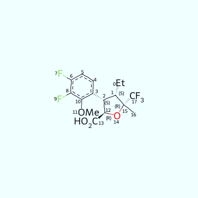 CC[C@H]1[C@@H](c2ccc(F)c(F)c2OC)[C@H](C(=O)O)O[C@@]1(C)C(F)(F)F